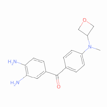 CN(c1ccc(C(=O)c2ccc(N)c(N)c2)cc1)C1COC1